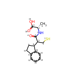 C[C@H](NC(=O)C(CS)C1CCc2ccccc21)C(=O)O